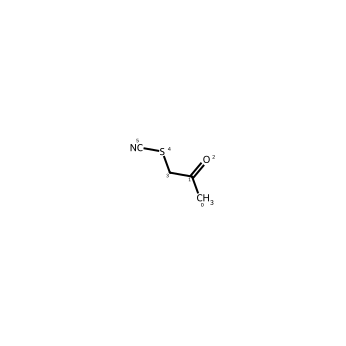 CC(=O)CSC#N